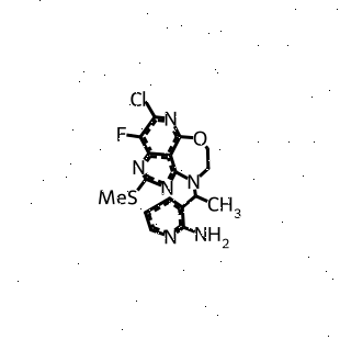 CSc1nc2c3c(nc(Cl)c(F)c3n1)OCCN2C(C)c1cccnc1N